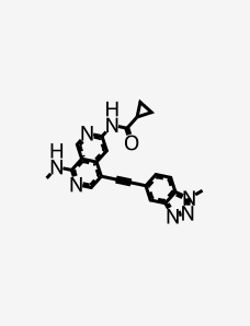 CNc1ncc(C#Cc2ccc3c(c2)nnn3C)c2cc(NC(=O)C3CC3)ncc12